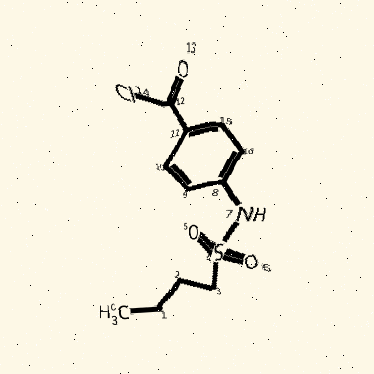 CCCCS(=O)(=O)Nc1ccc(C(=O)Cl)cc1